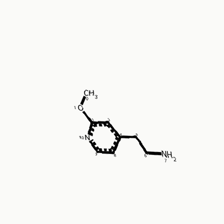 COc1cc(CCN)ccn1